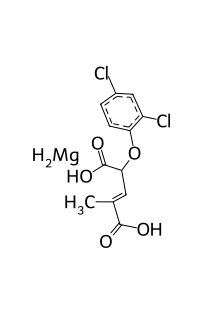 CC(=CC(Oc1ccc(Cl)cc1Cl)C(=O)O)C(=O)O.[MgH2]